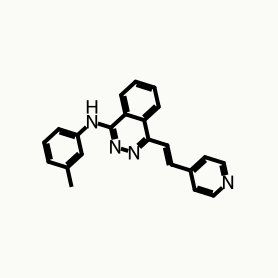 Cc1cccc(Nc2nnc(C=Cc3ccncc3)c3ccccc23)c1